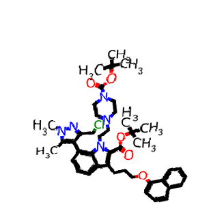 Cc1c(-c2cccc3c(CCCOc4cccc5ccccc45)c(C(=O)OC(C)(C)C)n(CCN4CCN(C(=O)OC(C)(C)C)CC4)c23)c(CCl)nn1C